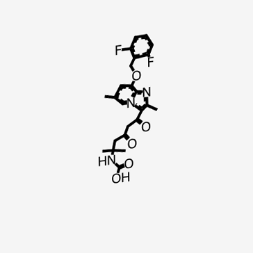 Cc1cc(OCc2c(F)cccc2F)c2nc(C)c(C(=O)CC(=O)CC(C)(C)NC(=O)O)n2c1